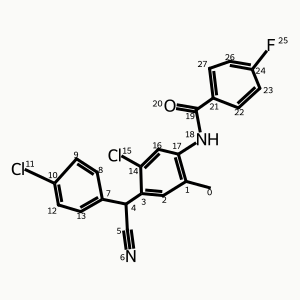 Cc1cc(C(C#N)c2ccc(Cl)cc2)c(Cl)cc1NC(=O)c1ccc(F)cc1